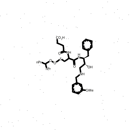 CCCC(CCC)OOSCC(NC(=O)CCC(=O)O)C(=O)N[C@@H](Cc1ccccc1)[C@H](O)CNCc1cccc(OC)c1